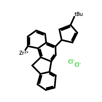 CC(C)(C)C1=CC(c2cc3c(c4[c]([Zr+2])cccc24)Cc2ccccc2-3)C=C1.[Cl-].[Cl-]